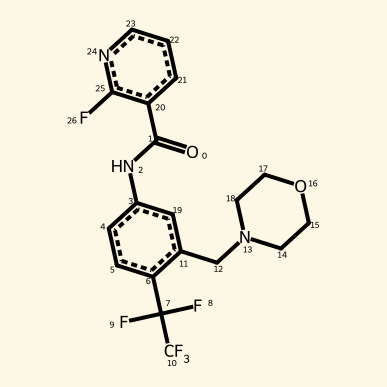 O=C(Nc1ccc(C(F)(F)C(F)(F)F)c(CN2CCOCC2)c1)c1cccnc1F